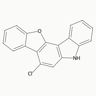 Clc1cc2[nH]c3ccccc3c2c2oc3ccccc3c12